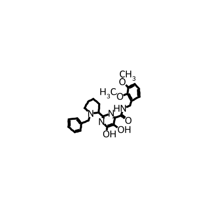 COc1cccc(CNC(=O)c2nc(C3CCCCN3Cc3ccccc3)nc(O)c2O)c1OC